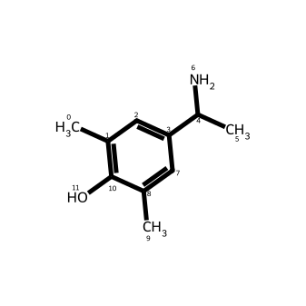 Cc1cc(C(C)N)cc(C)c1O